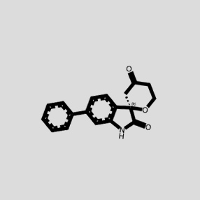 O=C1CCO[C@@]2(C1)C(=O)Nc1cc(-c3ccccc3)ccc12